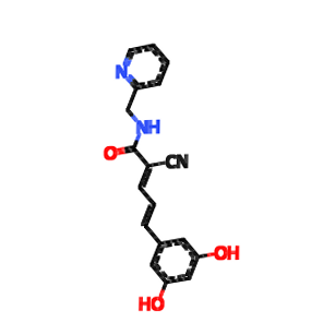 N#C/C(=C\C=C\c1cc(O)cc(O)c1)C(=O)NCc1ccccn1